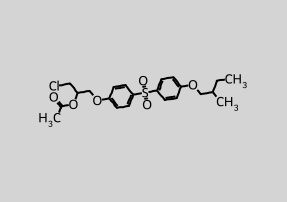 CCC(C)COc1ccc(S(=O)(=O)c2ccc(OCC(CCl)OC(C)=O)cc2)cc1